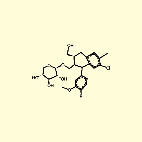 COc1cc(C2c3cc(Cl)c(C)cc3C[C@H](CO)C2CO[C@@H]2OC[C@@H](O)[C@H](O)[C@H]2O)ccc1F